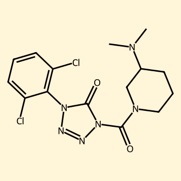 CN(C)C1CCCN(C(=O)n2nnn(-c3c(Cl)cccc3Cl)c2=O)C1